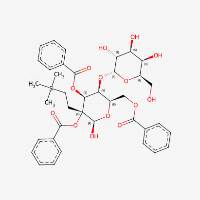 C[Si](C)(C)CC[C@]1(OC(=O)c2ccccc2)[C@H](O)O[C@H](COC(=O)c2ccccc2)[C@H](O[C@H]2O[C@H](CO)[C@H](O)[C@H](O)[C@H]2O)[C@@H]1OC(=O)c1ccccc1